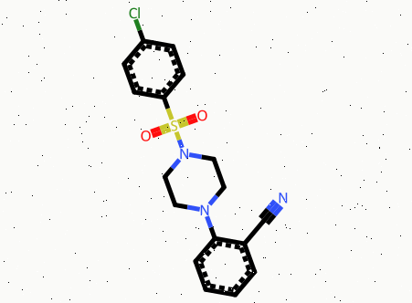 N#Cc1ccccc1N1CCN(S(=O)(=O)c2ccc(Cl)cc2)CC1